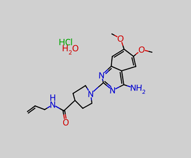 C=CCNC(=O)C1CCN(c2nc(N)c3cc(OC)c(OC)cc3n2)CC1.Cl.O